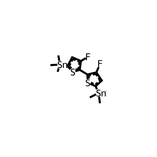 [CH3][Sn]([CH3])([CH3])[c]1cc(F)c(-c2s[c]([Sn]([CH3])([CH3])[CH3])cc2F)s1